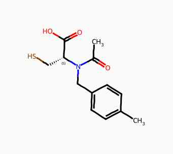 CC(=O)N(Cc1ccc(C)cc1)[C@H](CS)C(=O)O